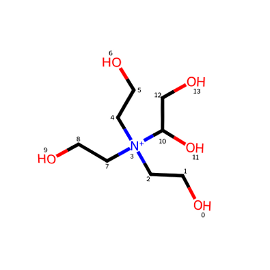 OCC[N+](CCO)(CCO)C(O)CO